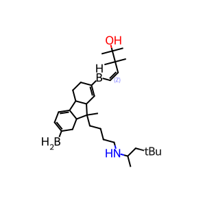 BC1=CC=C2C3CCC(B/C=C\C(C)(C)C(C)(C)O)=CC3C(C)(CCCCNC(C)CC(C)(C)C)C2C1